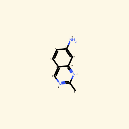 Cc1ncc2ccc(N)cc2n1